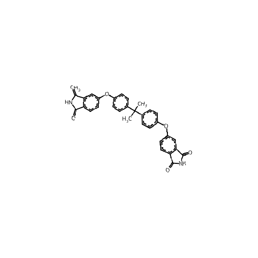 C=C1NC(=O)c2ccc(Oc3ccc(C(C)(C)c4ccc(Oc5ccc6c(c5)C(=O)NC6=O)cc4)cc3)cc21